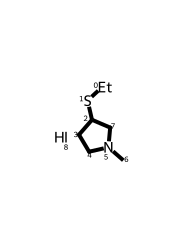 CCSC1CCN(C)C1.I